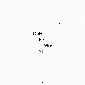 [Fe].[GaH3].[Mn].[Ni]